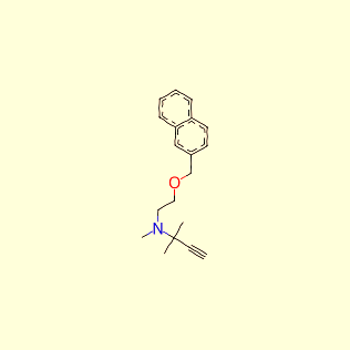 C#CC(C)(C)N(C)CCOCc1ccc2ccccc2c1